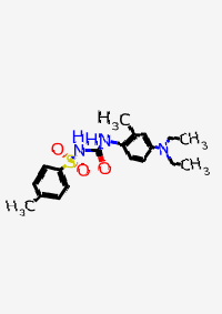 CCN(CC)c1ccc(NC(=O)NS(=O)(=O)c2ccc(C)cc2)c(C)c1